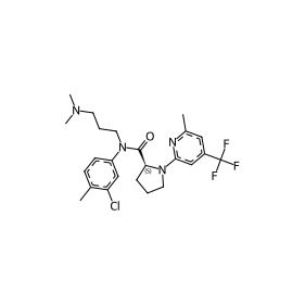 Cc1cc(C(F)(F)F)cc(N2CCC[C@H]2C(=O)N(CCCN(C)C)c2ccc(C)c(Cl)c2)n1